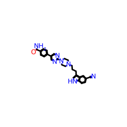 N#Cc1ccc2[nH]cc(CCCN3CCN(c4ncc(-c5ccc(C(N)=O)cc5)cn4)CC3)c2c1